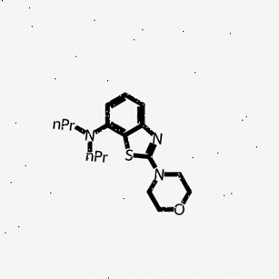 CCCN(CCC)c1cccc2nc(N3CCOCC3)sc12